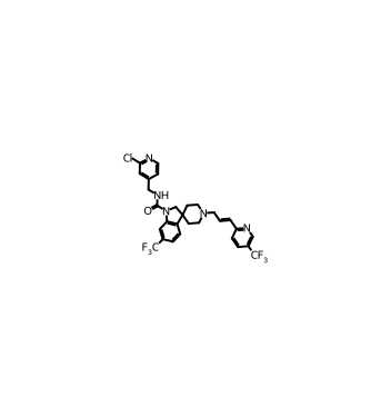 O=C(NCc1ccnc(Cl)c1)N1CC2(CCN(C/C=C/c3ccc(C(F)(F)F)cn3)CC2)c2ccc(C(F)(F)F)cc21